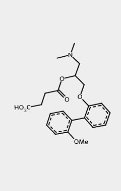 COc1ccccc1-c1ccccc1OCC(CN(C)C)OC(=O)CCC(=O)O